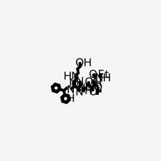 CCNC(=O)[C@H]1O[C@@H](n2cnc3c(NCC(c4ccccc4)c4ccccc4)nc(NCCCO)nc32)[C@@H]2OC(C)(C)O[C@@H]21